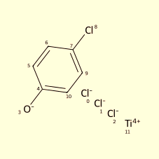 [Cl-].[Cl-].[Cl-].[O-]c1ccc(Cl)cc1.[Ti+4]